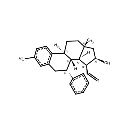 C[C@]12CC[C@@H]3c4ccc(O)cc4C[C@@H](c4ccccc4)[C@H]3[C@@H]1[C@H](C=S)[C@H](O)C2